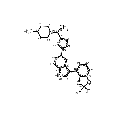 CC1CCN(C(C)c2ccc(-c3cnc4[nH]cc(-c5cccc6c5OC(F)(F)O6)c4c3)s2)CC1